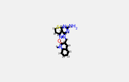 Cn1c(=O)c(Cn2nc3c4c(nc(N)nc42)SCC3)cc2ccccc21